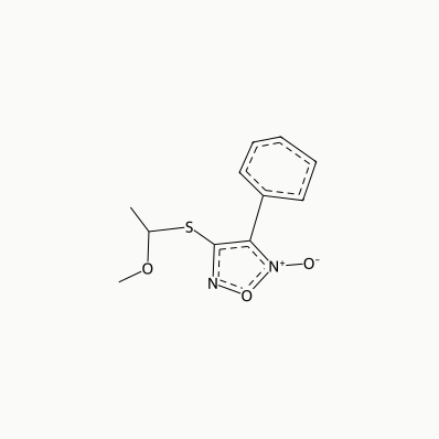 COC(C)Sc1no[n+]([O-])c1-c1ccccc1